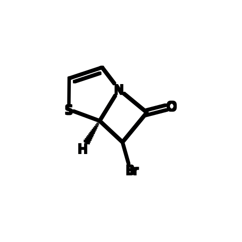 O=C1C(Br)[C@H]2SC=CN12